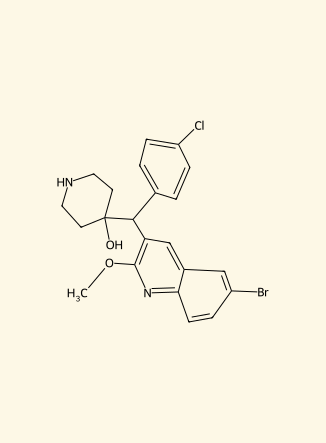 COc1nc2ccc(Br)cc2cc1C(c1ccc(Cl)cc1)C1(O)CCNCC1